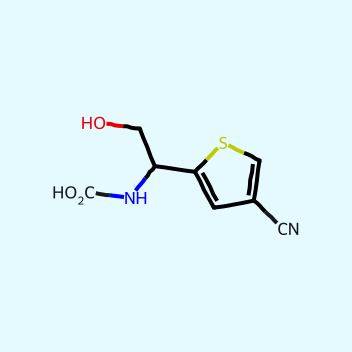 N#Cc1csc(C(CO)NC(=O)O)c1